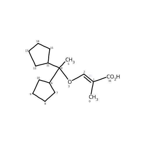 C/C(=C\OC(C)(C1CCCC1)C1CCCC1)C(=O)O